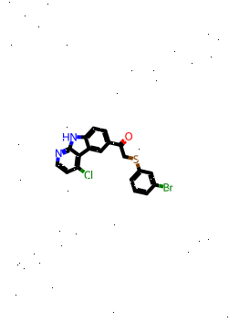 O=C(CSc1cccc(Br)c1)c1ccc2[nH]c3nccc(Cl)c3c2c1